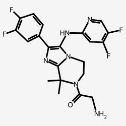 CC1(C)c2nc(-c3ccc(F)c(F)c3)c(Nc3cc(F)c(F)cn3)n2CCN1C(=O)CN